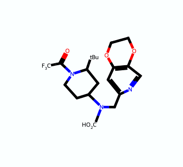 CC(C)(C)C1CC(N(Cc2cc3c(cn2)OCCO3)C(=O)O)CCN1C(=O)C(F)(F)F